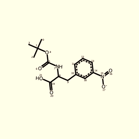 CC(C)(C)OC(=O)NC(Cc1cccc([N+](=O)[O-])c1)C(=O)O